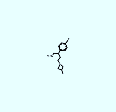 CNCC(CCN1CC(C)C1)c1ccc(F)cc1